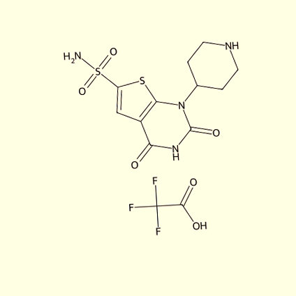 NS(=O)(=O)c1cc2c(=O)[nH]c(=O)n(C3CCNCC3)c2s1.O=C(O)C(F)(F)F